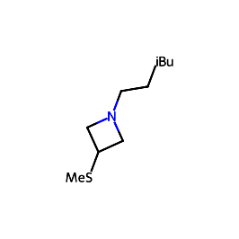 CCC(C)CCN1CC(SC)C1